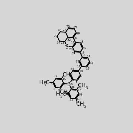 Cc1cc(C)c(B(c2ccc(-c3cccc(-c4ccc5c(c4)SC4CCCC6C=CC=C5C64)c3)cc2)c2c(C)cc(C)cc2C)c(C)c1